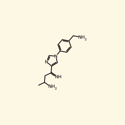 CC(N)CC(=N)c1cn(-c2ccc(CN)cc2)cn1